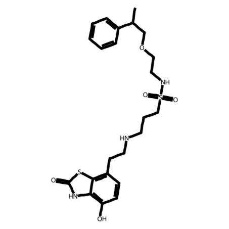 CC(COCCNS(=O)(=O)CCCNCCc1ccc(O)c2[nH]c(=O)sc12)c1ccccc1